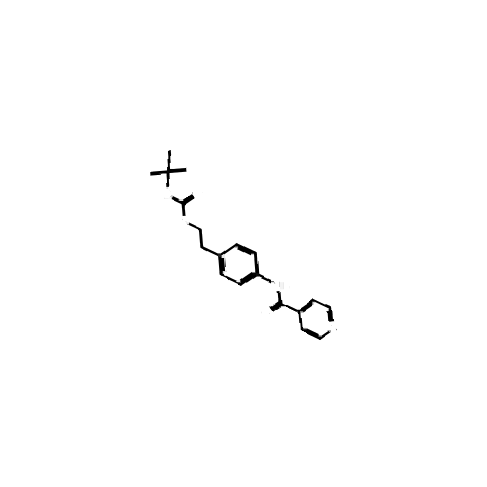 CC(C)(C)OC(=O)NCCc1ccc(NC(=O)c2ccncc2)cc1